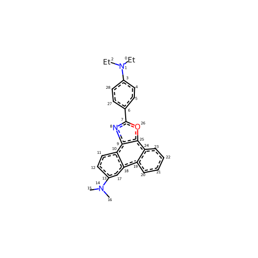 CCN(CC)c1ccc(-c2nc3c4ccc(N(C)C)cc4c4ccccc4c3o2)cc1